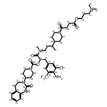 CC(CCN(C)C(=O)[C@@H](Cc1cc(Cl)c(N)c(C(F)(F)F)c1)OC(=O)N1CCC(N2CCc3ccccc3NC2=O)CC1)C1CCN(C(=O)CCC(=O)OCCCN(C)C)CC1